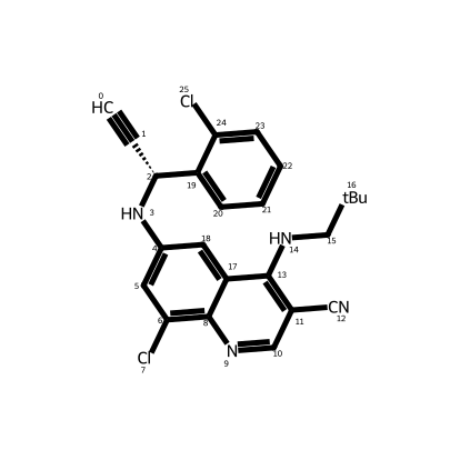 C#C[C@@H](Nc1cc(Cl)c2ncc(C#N)c(NCC(C)(C)C)c2c1)c1ccccc1Cl